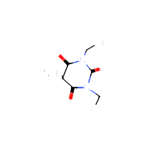 CCN1C(=O)CC(=O)N(CC)C1=O.[NaH]